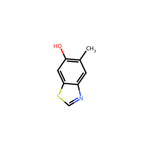 Cc1cc2ncsc2cc1O